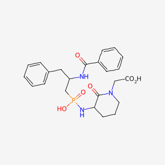 O=C(O)CN1CCCC(NP(=O)(O)CC(Cc2ccccc2)NC(=O)c2ccccc2)C1=O